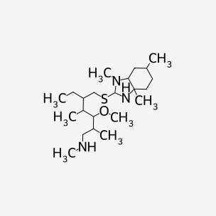 CCC(CSC1NC2(C)CCC(C)CC2N1C)C(C)C(OC)C(C)CNC